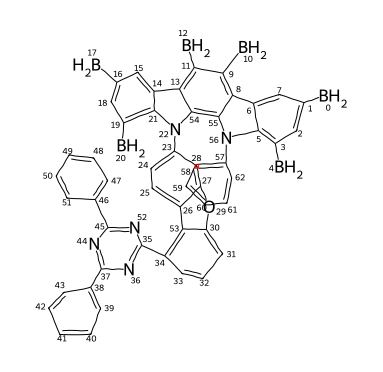 Bc1cc(B)c2c(c1)c1c(B)c(B)c3c4cc(B)cc(B)c4n(-c4ccc5c(c4)oc4cccc(-c6nc(-c7ccccc7)nc(-c7ccccc7)n6)c45)c3c1n2-c1ccccc1